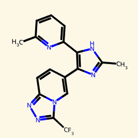 Cc1cccc(-c2[nH]c(C)nc2-c2ccc3nnc(C(F)(F)F)n3c2)n1